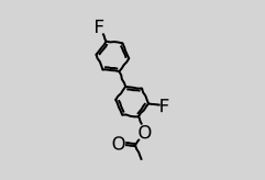 CC(=O)Oc1ccc(-c2ccc(F)cc2)cc1F